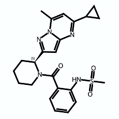 Cc1cc(C2CC2)nc2cc([C@@H]3CCCCN3C(=O)c3ccccc3NS(C)(=O)=O)nn12